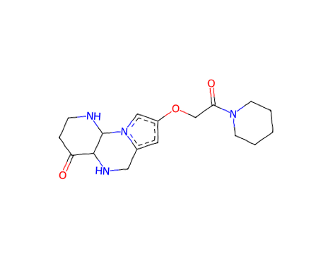 O=C1CCNC2C1NCc1cc(OCC(=O)N3CCCCC3)cn12